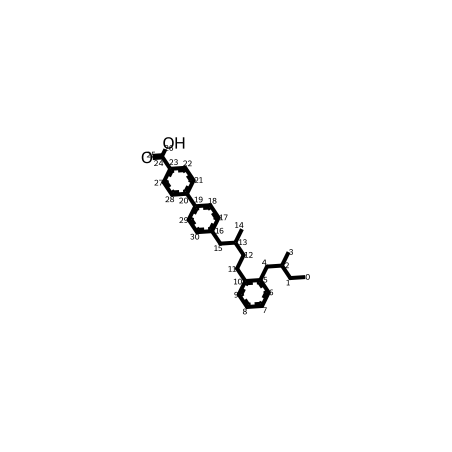 CCC(C)Cc1ccccc1CCC(C)Cc1ccc(-c2ccc(C(=O)O)cc2)cc1